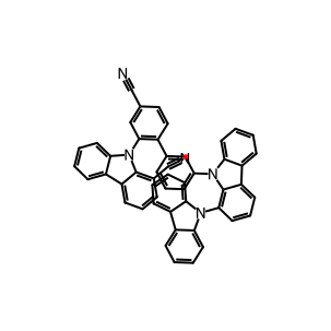 N#Cc1ccc(-c2cccc(-n3c4ccccc4c4cccc(-n5c6ccccc6c6ccccc65)c43)c2)c(-n2c3ccccc3c3cccc(C#N)c32)c1